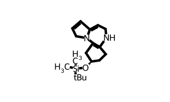 CC(C)(C)[Si](C)(C)O[C@@H]1CCC2=C(C1)N1CC=CC1=CCN2